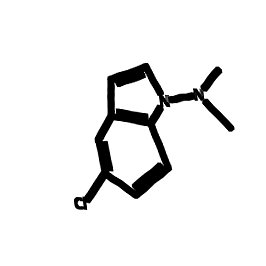 CN(C)n1ccc2cc(Cl)ccc21